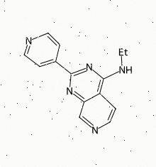 CCNc1nc(-c2ccncc2)nc2cnccc12